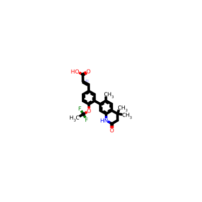 Cc1cc2c(cc1-c1cc(/C=C/C(=O)O)ccc1OC(C)(F)F)NC(=O)CC2(C)C